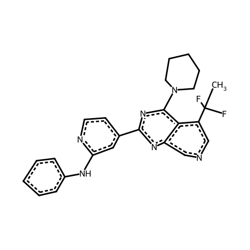 CC(F)(F)c1cncc2nc(-c3ccnc(Nc4ccccc4)c3)nc(N3CCCCC3)c12